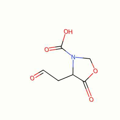 O=CCC1C(=O)OCN1C(=O)O